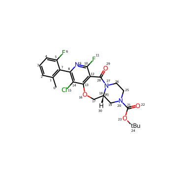 Cc1cccc(F)c1-c1nc(F)c2c(c1Cl)OC[C@H]1CN(C(=O)OC(C)(C)C)CCN1C2=O